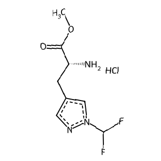 COC(=O)[C@H](N)Cc1cnn(C(F)F)c1.Cl